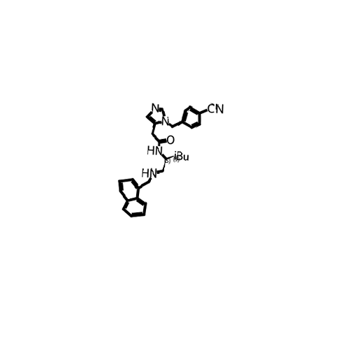 CC[C@H](C)[C@@H](CNCc1cccc2ccccc12)NC(=O)Cc1cncn1Cc1ccc(C#N)cc1